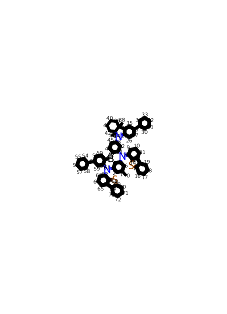 Cc1cc2c3c(c1)N(c1cccc4c1sc1ccccc14)c1cc(N4c5ccc(-c6ccccc6)cc5C5(C)CCCCC45C)ccc1B3c1ccc(-c3ccccc3)cc1N2c1cccc2c1sc1ccccc12